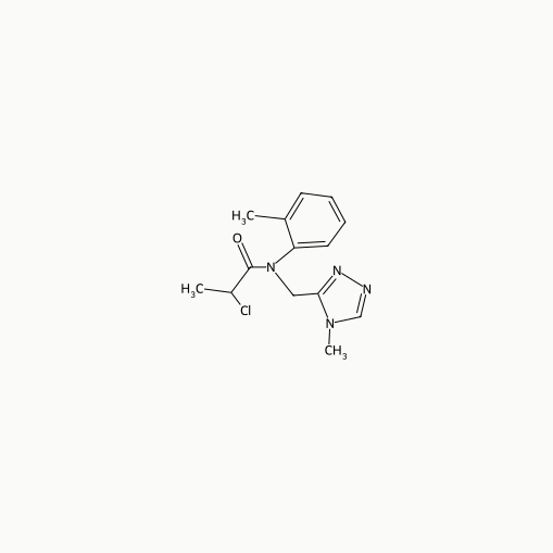 Cc1ccccc1N(Cc1nncn1C)C(=O)C(C)Cl